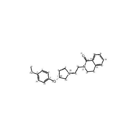 COc1ccc(O[C@@H]2CCN(CCN3CCc4ccccc4C3=O)C2)cc1